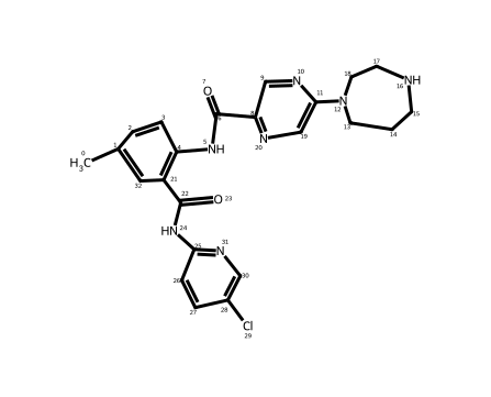 Cc1ccc(NC(=O)c2cnc(N3CCCNCC3)cn2)c(C(=O)Nc2ccc(Cl)cn2)c1